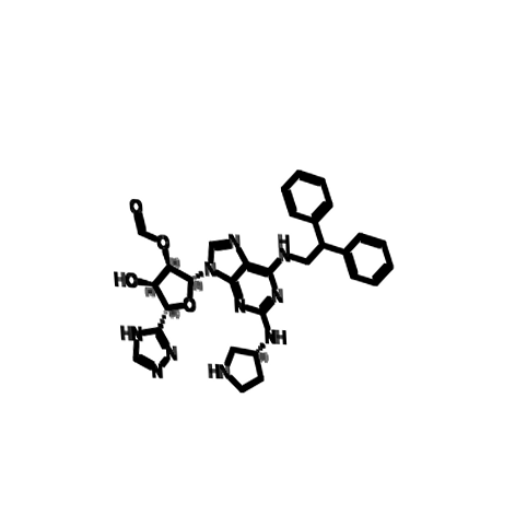 O=CO[C@@H]1[C@H](O)[C@@H](c2nnc[nH]2)O[C@H]1n1cnc2c(NCC(c3ccccc3)c3ccccc3)nc(N[C@@H]3CCNC3)nc21